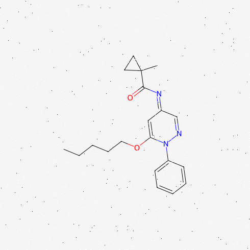 CCCCCOc1c/c(=N\C(=O)C2(C)CC2)cnn1-c1ccccc1